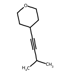 CC(C)C#CC1CCOCC1